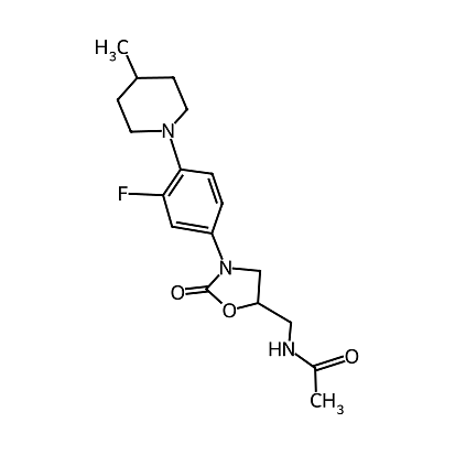 CC(=O)NCC1CN(c2ccc(N3CCC(C)CC3)c(F)c2)C(=O)O1